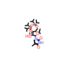 Cc1cn([C@@H]2O[C@]3(C(C)C)CO[Si](C(C)C)(C(C)C)O[Si](C(C)C)(C(C)C)O[C@@H]3C2O)c(=O)[nH]c1=O